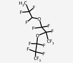 CC(F)(F)C(F)OC(F)(F)C(F)(OC(F)(F)C(F)(F)C(F)(F)F)C(F)(F)F